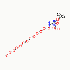 COCCOCCOCCOCCOCCOCCOCCOCCOCCOCCOCCOCCC(=O)NCCCC[C@H](NC(=O)OCC1c2ccccc2-c2ccccc21)C(=O)NCC(=O)O